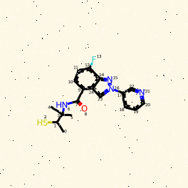 CC(S)C(C)(C)NC(=O)c1ccc(F)c2nn(-c3cccnc3)cc12